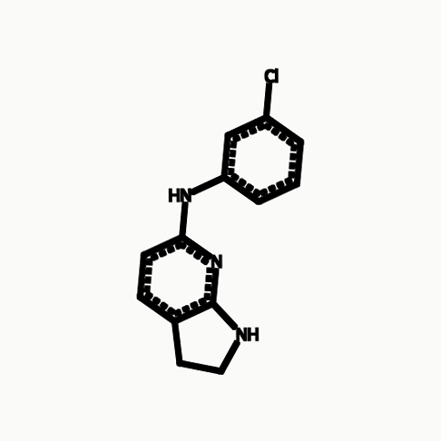 Clc1cccc(Nc2ccc3c(n2)NCC3)c1